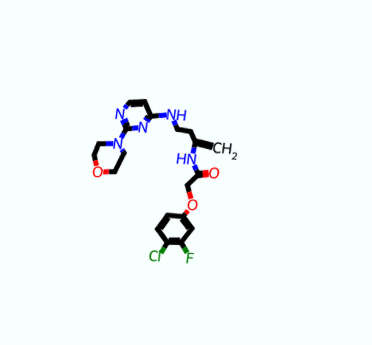 C=C(CCNc1ccnc(N2CCOCC2)n1)NC(=O)COc1ccc(Cl)c(F)c1